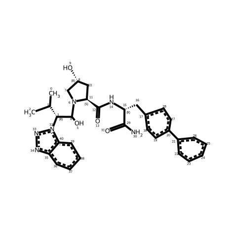 CC(C)[C@H](C(O)N1C[C@H](O)C[C@H]1C(=O)N[C@H](Cc1ccc(-c2ccccc2)cc1)C(N)=O)n1nnc2ccccc21